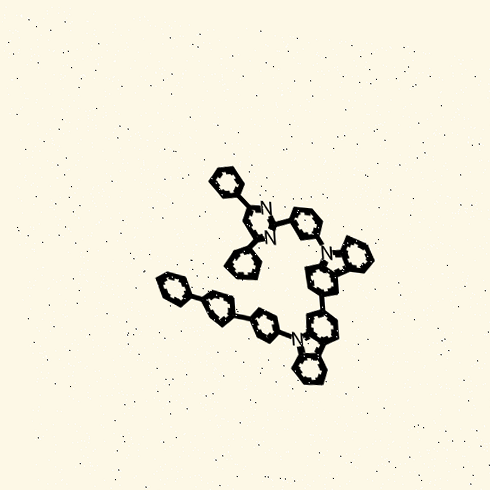 c1ccc(-c2ccc(-c3ccc(-n4c5ccccc5c5ccc(-c6ccc7c(c6)c6ccccc6n7-c6cccc(-c7nc(-c8ccccc8)cc(-c8ccccc8)n7)c6)cc54)cc3)cc2)cc1